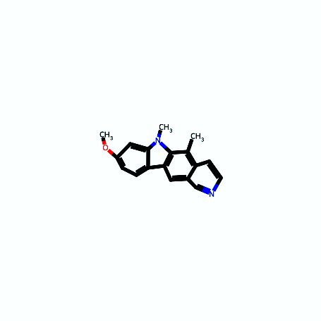 COc1ccc2c3cc4cnccc4c(C)c3n(C)c2c1